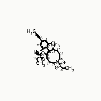 CC#Cc1cc(C)c(/C2=C(\OS(=O)(=O)CC)CCCN(S(=O)(=O)CC)CCCC2=O)c(C)c1